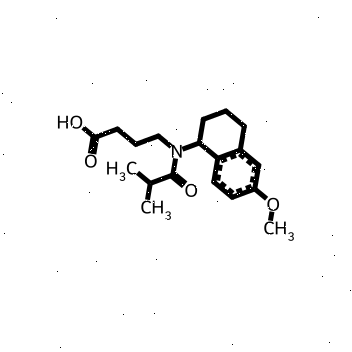 COc1ccc2c(c1)CCCC2N(CCCC(=O)O)C(=O)C(C)C